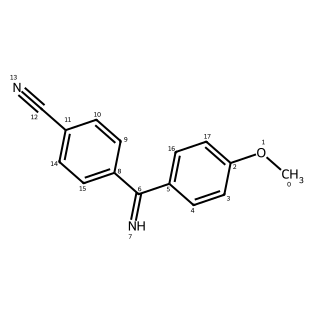 COc1ccc(C(=N)c2ccc(C#N)cc2)cc1